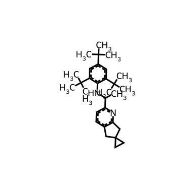 CC(Nc1c(C(C)(C)C)cc(C(C)(C)C)cc1C(C)(C)C)c1ccc2c(n1)CC1(CC1)C2